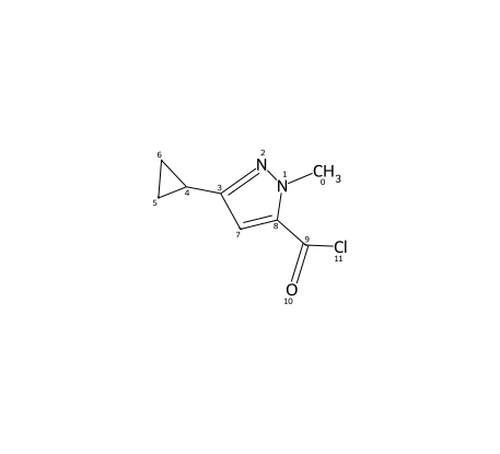 Cn1nc(C2CC2)cc1C(=O)Cl